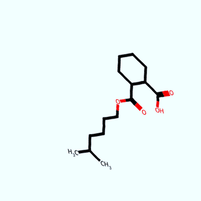 CC(C)CCCCOC(=O)C1CCCCC1C(=O)O